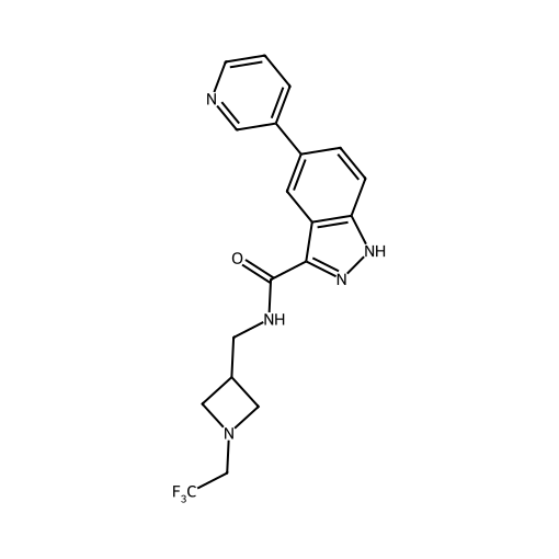 O=C(NCC1CN(CC(F)(F)F)C1)c1n[nH]c2ccc(-c3cccnc3)cc12